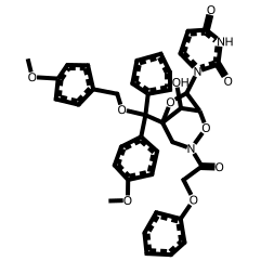 COc1ccc(COC(c2ccccc2)(c2ccc(OC)cc2)C23CN(C(=O)COc4ccccc4)OC(C(n4ccc(=O)[nH]c4=O)O2)C3O)cc1